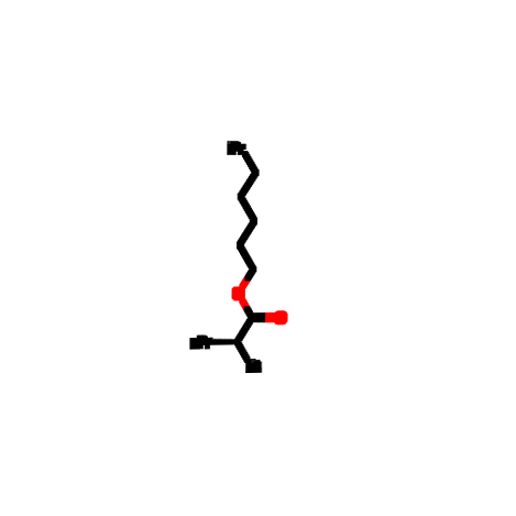 CCCC(CC)C(=O)OCCCCCC(C)C